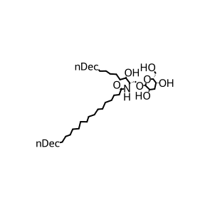 CCCCCCCCCCCCCCCCCCCCCCCCCC(=O)N[C@@H](CO[C@H]1O[C@H](CO)[C@H](O)C[C@H]1O)[C@H](O)CCCCCCCCCCCCCCC